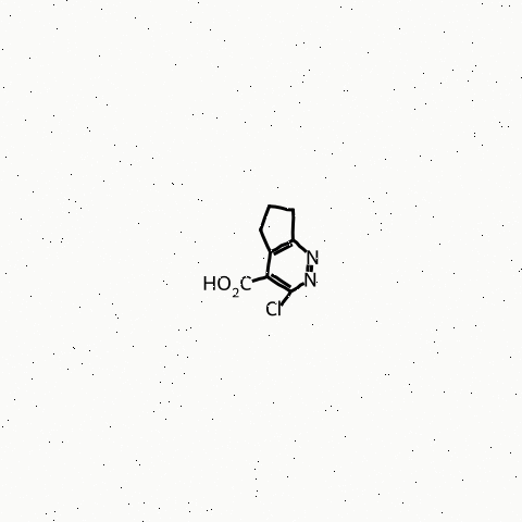 O=C(O)c1c(Cl)nnc2c1CCC2